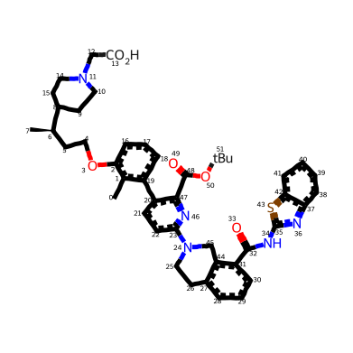 Cc1c(OCC[C@@H](C)C2CCN(CC(=O)O)CC2)cccc1-c1ccc(N2CCc3cccc(C(=O)Nc4nc5ccccc5s4)c3C2)nc1C(=O)OC(C)(C)C